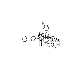 COC[C@@H](C[C@H](NC(=O)c1ccc(-c2ccccc2)cc1)C(=O)NC(C)(C)Cc1ccc(F)cc1)C(=O)O